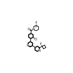 O=C(c1ccc(-c2cncc(-c3ccnc(C4(F)CCC4)c3)c2)c(Cl)c1)N1CCC[C@@H](F)C1